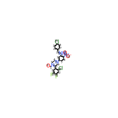 O=CN1CCN(c2ccc([N+](=O)[O-])c(NCc3ccc(Cl)cc3)c2)CC1c1cc(F)c(F)cc1Cl